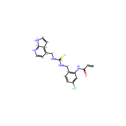 C=CC(=O)Nc1cc(Cl)ccc1CNC(=S)NCc1ccnc2[nH]ccc12